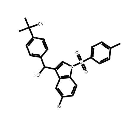 Cc1ccc(S(=O)(=O)n2cc(C(O)c3ccc(C(C)(C)C#N)cc3)c3cc(Br)ccc32)cc1